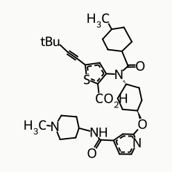 CC1CCC(C(=O)N(c2cc(C#CC(C)(C)C)sc2C(=O)O)[C@H]2CC[C@H](Oc3cc(C(=O)NC4CCN(C)CC4)ccn3)CC2)CC1